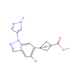 COC(=O)C12CC(c3cc4c(cnn4-c4cnn(C)c4)cc3Cl)(C1)C2